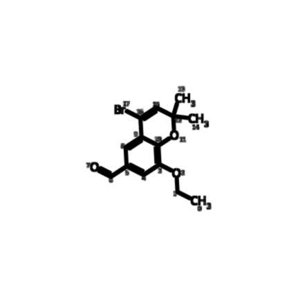 CCOc1cc(C=O)cc2c1OC(C)(C)C=C2Br